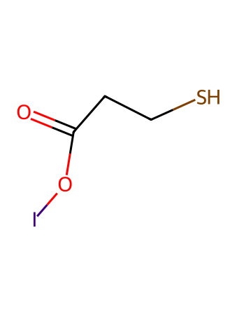 O=C(CCS)OI